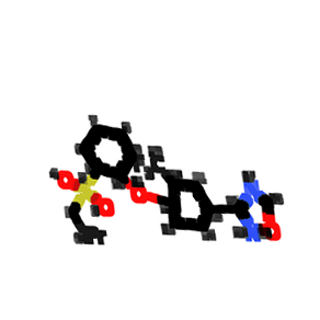 CC(C)CS(=O)(=O)c1ccccc1Oc1ccc(-c2ncon2)cc1C(F)(F)F